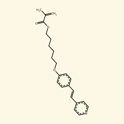 C=C(C)C(=O)OCCCCCCOc1ccc(C=Cc2ccncc2)cc1